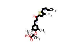 C=C/C=C\c1sc(C(=O)/C=C/c2cc(C)c(OC(C)(C)C(=O)O)c(C)c2)cc1C